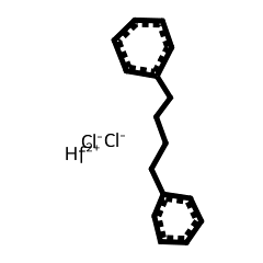 [Cl-].[Cl-].[Hf+2].c1ccc(CCCCc2ccccc2)cc1